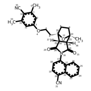 Cc1cc(OCC[C@]23CC[C@](C)(O2)[C@@H]2C(=O)N(c4ccc(C#N)c5ccccc45)C(=O)[C@@H]23)cc(C)c1C#N